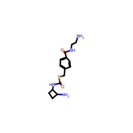 NCCNC(=O)c1ccc(CSC(=O)NC2CCC2N)cc1